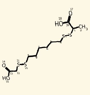 CC(SSCCCCCCSSCC(=O)O)C(=O)O